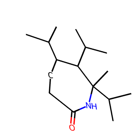 CC(C)C1CCC(=O)NC(C)(C(C)C)C1C(C)C